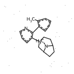 Cc1ccccc1-c1ncccc1N1CCC2CCC(C1)N2C